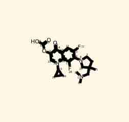 CN(C)CC1(C)CCN(c2c(F)cc3c(=O)c(OC(=O)O)cn(C4CC4)c3c2F)C1